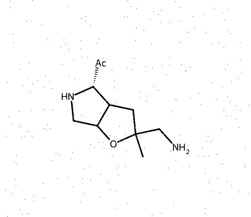 CC(=O)[C@H]1NCC2OC(C)(CN)CC21